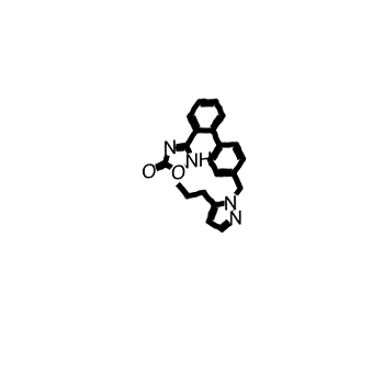 CCCc1ccnn1Cc1ccc(-c2ccccc2-c2nc(=O)o[nH]2)cc1